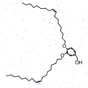 CCCCCCCC/C=C\CCCCCCCCOc1ccc(CO)cc1OCCCCCCCC/C=C\CCCCCCCC